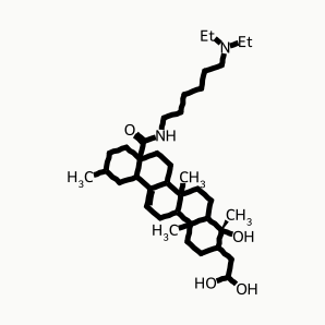 CCN(CC)CCCCCCNC(=O)C12CCC(C)CC1C1=CCC3C(C)(CCC4C3(C)CCC(CC(O)O)[C@@]4(C)O)C1CC2